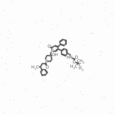 CC(CC(=O)N1CCC(O)(Cn2cc(-c3ccc(CNC(=O)OC(C)(C)C)cc3)c(-c3ccccc3)cc2=O)CC1)c1ccccc1